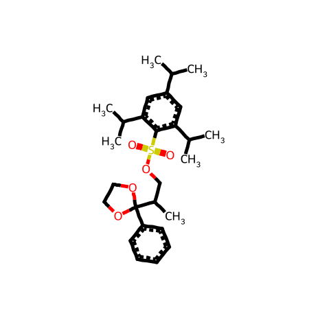 CC(C)c1cc(C(C)C)c(S(=O)(=O)OCC(C)C2(c3ccccc3)OCCO2)c(C(C)C)c1